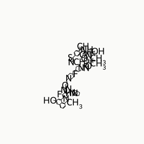 CCc1cccc2cc(O)cc(-c3ncc4c(N5CC6CCC(C5)N6)nc(OCCN5CCC(F)(CC6CCN(c7cc([C@@H](C(=O)N8C[C@H](O)C[C@H]8C(=O)N[C@@H](C)c8ccc(-c9scnc9C)cc8)C(C)C)on7)CC6)CC5)nc4c3F)c12